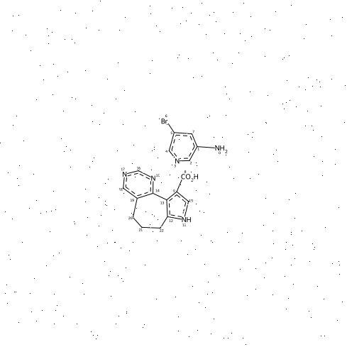 Nc1cncc(Br)c1.O=C(O)c1c[nH]c2c1-c1ncncc1CCC2